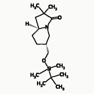 CC1(C)C[C@@H]2CC[C@@H](CO[Si](C)(C)C(C)(C)C)CN2C1=O